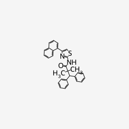 CC(C)(C(=O)Nc1nc(-c2cccc3ccccc23)cs1)C(c1ccccc1)c1ccccc1